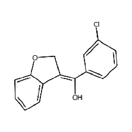 OC(=C1COc2ccccc21)c1cccc(Cl)c1